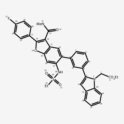 CCOC(=O)Cn1c(-c2cccc(-c3cc4c(C(=O)NC)c(-c5ccc(F)cc5)oc4cc3NS(=O)(=O)CC)c2)cc2ccccc21